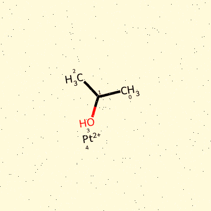 CC(C)O.[Pt+2]